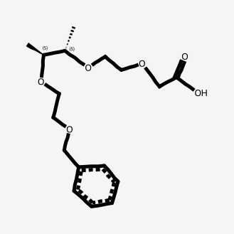 C[C@H](OCCOCC(=O)O)[C@H](C)OCCOCc1ccccc1